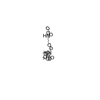 COC(=O)C(CNCCOc1ccc(CCCCNC(=O)OCc2ccccc2)cc1)N(C(=O)OC(C)(C)C)C(=O)OC(C)(C)C